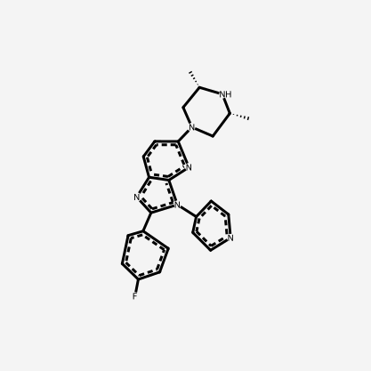 C[C@@H]1CN(c2ccc3nc(-c4ccc(F)cc4)n(-c4ccncc4)c3n2)C[C@H](C)N1